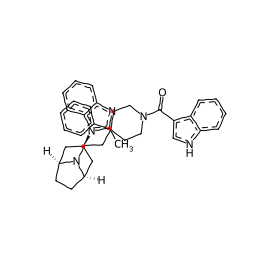 Cc1nc2ccccc2n1[C@H]1C[C@H]2CC[C@@H](C1)N2CCC1(c2ccccc2)CCN(C(=O)c2c[nH]c3ccccc23)CC1